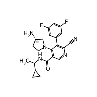 CC(NC(=O)c1cnc(C#N)c(-c2cc(F)cc(F)c2)c1N1CC[C@H](N)C1)C1CC1